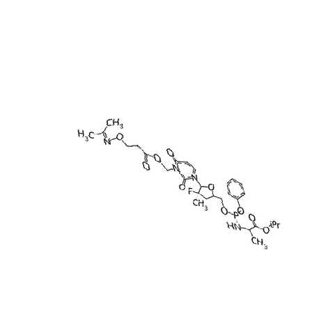 CC(C)=NOCCC(=O)OCn1c(=O)ccn(C2OC(CO[P@@](NC(C)C(=O)OC(C)C)Oc3ccccc3)C[C@@]2(C)F)c1=O